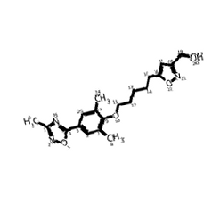 Cc1noc(-c2cc(C)c(OCCCCCc3cc(CO)no3)c(C)c2)n1